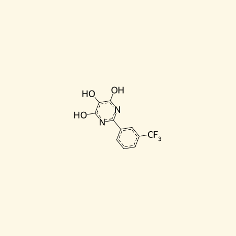 Oc1nc(-c2cccc(C(F)(F)F)c2)nc(O)c1O